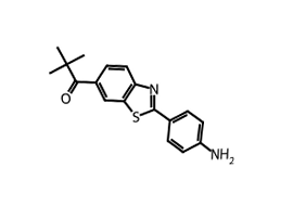 CC(C)(C)C(=O)c1ccc2nc(-c3ccc(N)cc3)sc2c1